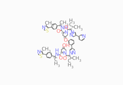 Cc1ncsc1-c1ccc([C@H](C)NC(=O)[C@@H]2C[C@@H](O)CN2C(=O)[C@H](C(C)C)n2cc(-c3cccc(O[C@@H]4C[C@@H](C(=O)N[C@@H](C)c5ccc(-c6scnc6C)cc5)N(C(=O)[C@H](C(C)C)n5cc(-c6cccnc6)cn5)C4)c3)cn2)cc1